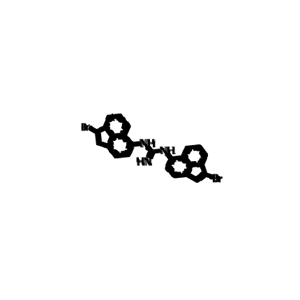 N=C(Nc1ccc2c3c(cccc13)C(Br)=C2)Nc1ccc2c3c(cccc13)C(Br)=C2